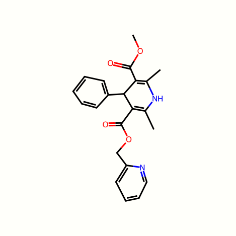 COC(=O)C1=C(C)NC(C)=C(C(=O)OCc2ccccn2)C1c1ccccc1